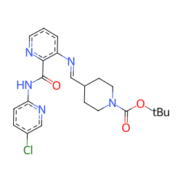 CC(C)(C)OC(=O)N1CCC(C=Nc2cccnc2C(=O)Nc2ccc(Cl)cn2)CC1